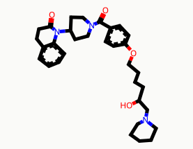 O=C(c1ccc(OCCCCC(O)CN2CCCCC2)cc1)N1CCC(N2C(=O)CCc3ccccc32)CC1